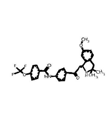 COc1ccc2c(c1)C(=CC(=O)c1ccc(NC(=O)c3ccc(OC(F)(F)F)cc3)cc1)NC(C)(C)C2